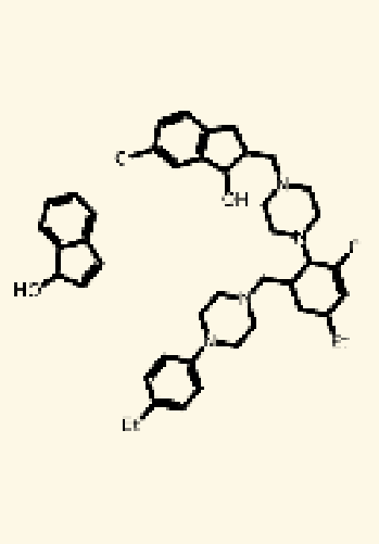 CCc1ccc(N2CCN(CC3CC(CC)C=C(Cl)C3N3CCN(CC4Cc5ccc(Cl)cc5C4O)CC3)CC2)cc1.OC1C=Cc2ccccc21